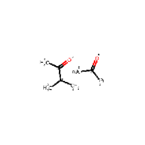 CC(=O)C(C)C.CCCCC(=O)C(C)C